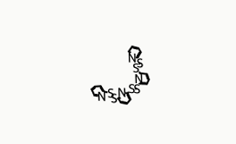 c1ccc(SSc2cccc(SSc3cccc(SSc4ccccn4)n3)n2)nc1